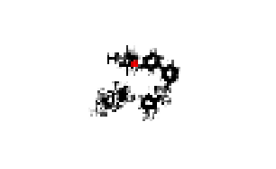 CC(=O)c1cccc(C(=O)NCc2cccc(-c3cccc(CN4C[C@@H]5C[C@H]4CN5)c3)c2)c1.O=C(O)C(F)(F)F.O=C(O)C(F)(F)F